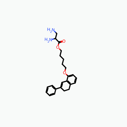 NCC(N)C(=O)OCCCCCOc1cccc2c1C=C(c1ccccc1)CC2